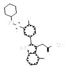 COC(=O)Cc1c(-c2ccc(Cl)c(S(=O)(=O)NC3CCCCC3)c2)[nH]c2cccc(Cl)c12